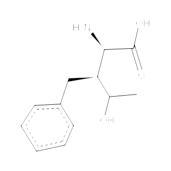 CC(O)[C@@H](Cc1ccccc1)[C@@H](N)C(=O)O